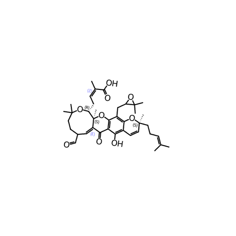 CC(C)=CCC[C@@]1(C)C=Cc2c(O)c3c(c(CC4OC4(C)C)c2O1)O[C@@]1(C)/C(=C\C(C=O)CCC(C)(C)O[C@@H]1C/C=C(/C)C(=O)O)C3=O